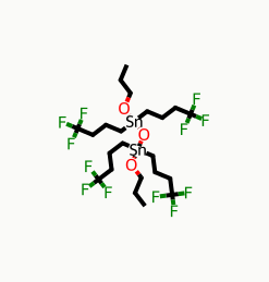 CCC[O][Sn]([CH2]CCC(F)(F)F)([CH2]CCC(F)(F)F)[O][Sn]([CH2]CCC(F)(F)F)([CH2]CCC(F)(F)F)[O]CCC